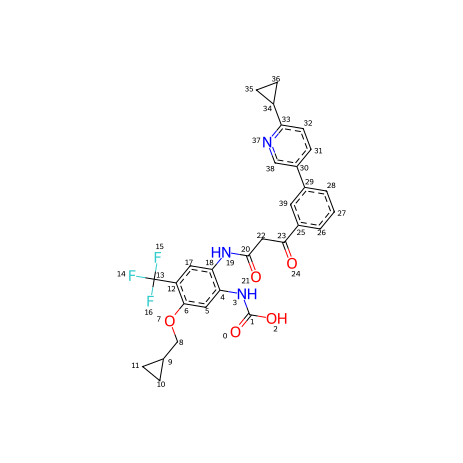 O=C(O)Nc1cc(OCC2CC2)c(C(F)(F)F)cc1NC(=O)CC(=O)c1cccc(-c2ccc(C3CC3)nc2)c1